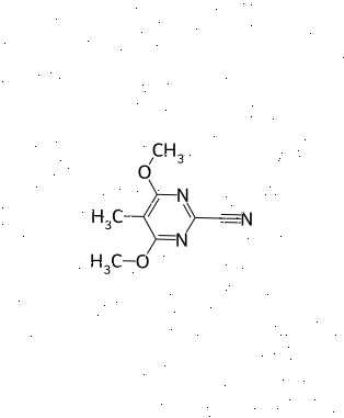 COc1nc(C#N)nc(OC)c1C